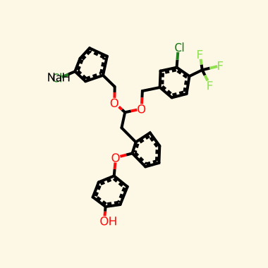 Oc1ccc(Oc2ccccc2CC(OCc2cccc(Cl)c2)OCc2ccc(C(F)(F)F)c(Cl)c2)cc1.[NaH]